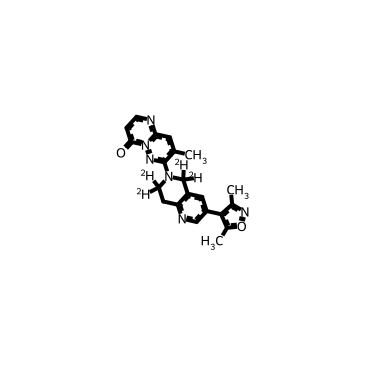 [2H]C1([2H])Cc2ncc(-c3c(C)noc3C)cc2C([2H])([2H])N1c1nn2c(=O)ccnc2cc1C